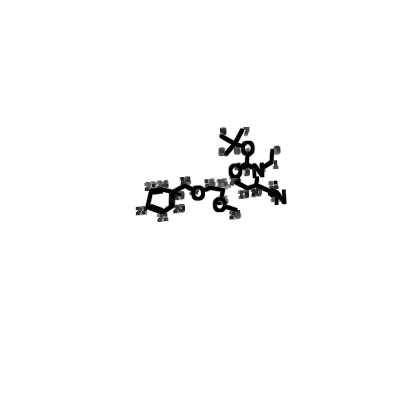 CCN(C(=O)OC(C)(C)C)C(C#N)CC[C@@H](COCc1ccccc1)OC